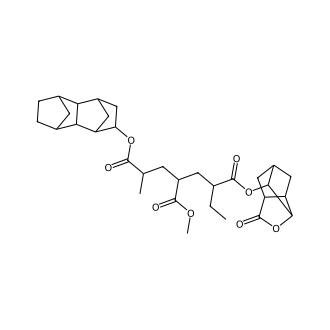 CCC(CC(CC(C)C(=O)OC1CC2CC1C1C3CCC(C3)C21)C(=O)OC)C(=O)OC1C2CC3C(=O)OC1C3C2